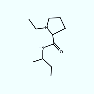 CCC(C)NC(=O)C1CCCN1CC